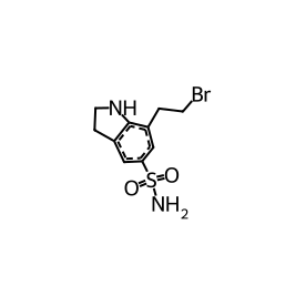 NS(=O)(=O)c1cc(CCBr)c2c(c1)CCN2